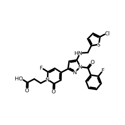 O=C(O)CCn1c(F)cc(-c2cc(NCc3ccc(Cl)s3)n(C(=O)c3ccccc3F)n2)cc1=O